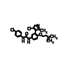 CN(C)CCOc1ccc(NC(=O)Nc2ccc(Cl)cc2)cc1-c1c(Cl)cnn1C